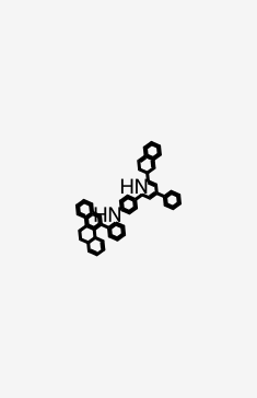 C1=CC2CCc3c(c(-c4ccccc4Nc4ccc(C5C=C(c6ccccc6)C=C(C6C=c7ccccc7=CC6)N5)cc4)cc4ccccc34)C2C=C1